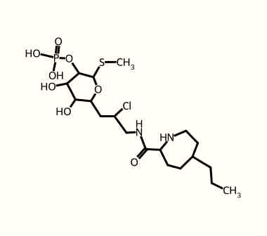 CCCC1CCNC(C(=O)NCC(Cl)CC2OC(SC)C(OP(=O)(O)O)C(O)C2O)CC1